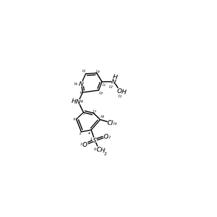 CS(=O)(=O)c1ccc(Nc2cc(NO)ccn2)cc1Cl